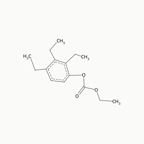 CCOC(=O)Oc1ccc(CC)c(CC)c1CC